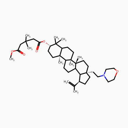 C=C(C)[C@@H]1CC[C@]2(CCN3CCOCC3)CC[C@]3(C)C(CCC4[C@@]5(C)CC[C@H](OC(=O)CC(C)(C)CC(=O)OC)C(C)(C)C5CC[C@]43C)C12